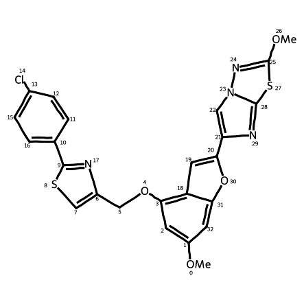 COc1cc(OCc2csc(-c3ccc(Cl)cc3)n2)c2cc(-c3cn4nc(OC)sc4n3)oc2c1